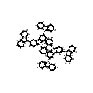 c1cnc(-n2c3ccc(-n4c5ccccc5c5ccccc54)cc3c3cc(-n4c5ccccc5c5ccccc54)ccc32)c(-c2cccnc2-n2c3ccc(-n4c5ccccc5c5ccccc54)cc3c3cc(-n4c5ccccc5c5ccccc54)ccc32)c1